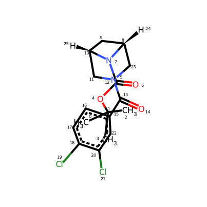 CC(C)(C)OC(=O)N1[C@@H]2C[C@H]1CN(C(=O)c1ccc(Cl)c(Cl)c1)C2